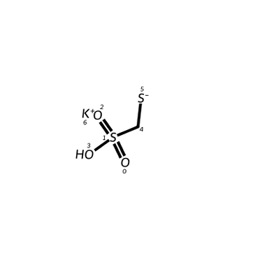 O=S(=O)(O)C[S-].[K+]